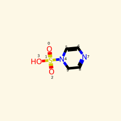 O=S(=O)(O)N1C=CN=CC1